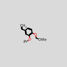 C=Cc1ccc(OCOC)c(OC(C)C)c1